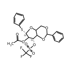 CC(=O)OC1[C@@H](OS(=O)(=O)C(F)(F)F)C2OC(c3ccccc3)OCC2O[C@H]1Sc1ccccc1